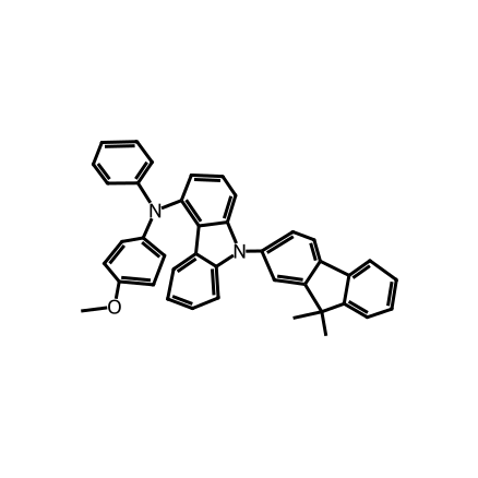 COc1ccc(N(c2ccccc2)c2cccc3c2c2ccccc2n3-c2ccc3c(c2)C(C)(C)c2ccccc2-3)cc1